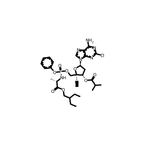 C#C[C@]1(CO[P@@](=O)(N[C@@H](C)C(=O)OCC(CC)CC)Oc2ccccc2)O[C@@H](n2cnc3c(N)nc(Cl)nc32)C[C@@H]1OC(=O)C(C)C